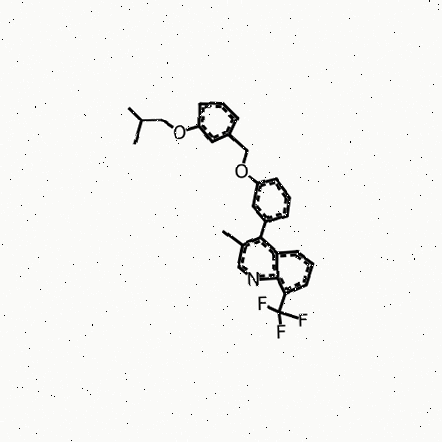 Cc1cnc2c(C(F)(F)F)cccc2c1-c1cccc(OCc2cccc(OCC(C)C)c2)c1